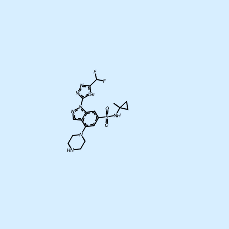 CC1(NS(=O)(=O)c2cc(N3CCNCC3)c3cnn(-c4nnc(C(F)F)[se]4)c3c2)CC1